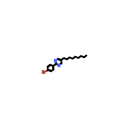 CCCCCCCCCc1cnc(-c2ccc(Br)cc2)nc1